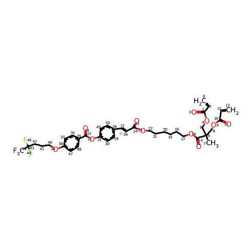 C=CC(=O)OCC(C)(COC(=O)C=C)C(=O)OCCCCCCOC(=O)/C=C/c1ccc(OC(=O)c2ccc(OCCCC(F)(F)C(F)(F)F)cc2)cc1